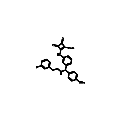 COc1ccc(C(NCCc2cccc(F)c2)c2cccc(Nc3c(OC)c(=O)c3=O)c2)cc1